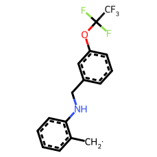 [CH2]c1ccccc1NCc1cccc(OC(F)(F)C(F)(F)F)c1